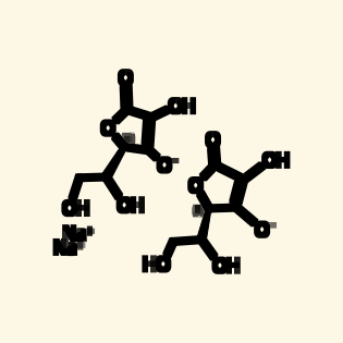 O=C1O[C@H](C(O)CO)C([O-])=C1O.O=C1O[C@H](C(O)CO)C([O-])=C1O.[Na+].[Na+]